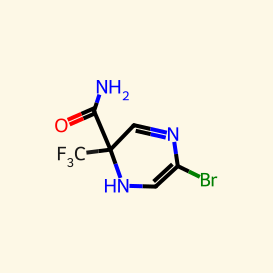 NC(=O)C1(C(F)(F)F)C=NC(Br)=CN1